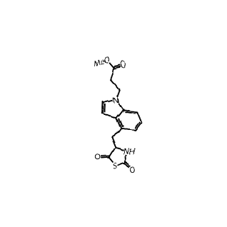 COC(=O)CCn1ccc2c(CC3NC(=O)SC3=O)cccc21